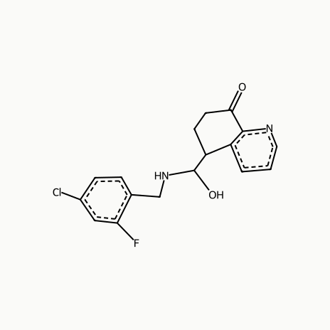 O=C1CCC(C(O)NCc2ccc(Cl)cc2F)c2cccnc21